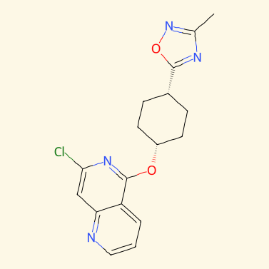 Cc1noc([C@H]2CC[C@@H](Oc3nc(Cl)cc4ncccc34)CC2)n1